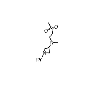 CC(C)N1CC(N(C)CCS(C)(=O)=O)C1